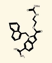 COC(=O)NCCOC(=O)c1cc2ccc(C(=N)N)cc2n1Cc1cccc2ccccc12